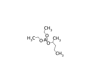 CCCC(C)[O][Al]([O]CC)[O]CC